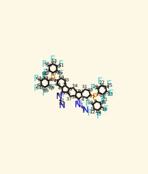 N#C/N=c1\c2cc(P(c3c(F)c(F)c(F)c(F)c3F)c3c(F)c(F)c(F)c(F)c3F)ccc2c2cc3c(cc12)/c(=N\C#N)c1cc(P(c2c(F)c(F)c(F)c(F)c2F)c2c(F)c(F)c(F)c(F)c2F)ccc13